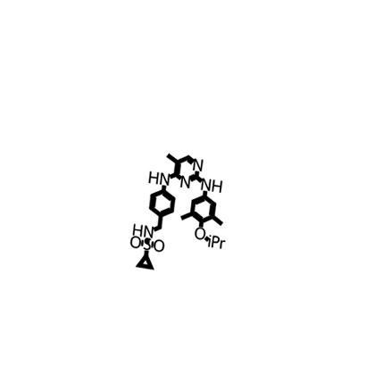 Cc1cnc(Nc2cc(C)c(OC(C)C)c(C)c2)nc1Nc1ccc(CNS(=O)(=O)C2CC2)cc1